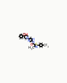 Cc1nc(-c2ccc(C(F)(F)F)cc2)sc1C(=O)Nc1ccc(N2CCC(O)(c3ccccc3)CC2)nc1